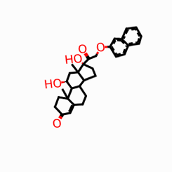 CC12CCC(=O)C=C1CCC1C2[C@@H](O)CC2(C)C1CC[C@]2(O)C(=O)COc1ccc2ccccc2c1